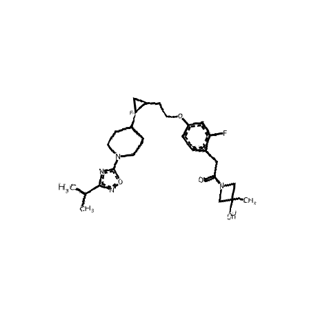 CC(C)c1noc(N2CCC([C@H]3CC3CCOc3ccc(CC(=O)N4CC(C)(O)C4)c(F)c3)CC2)n1